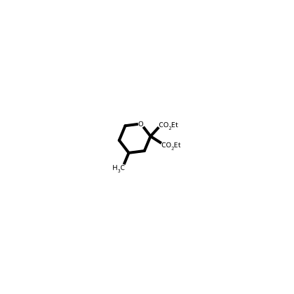 CCOC(=O)C1(C(=O)OCC)CC(C)CCO1